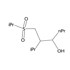 CCCC(O)C(CS(=O)(=O)C(C)C)C(C)C